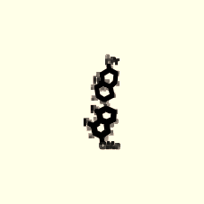 CCCC1CCC2C[C@H](c3ccc4cc(OC)cc(F)c4c3F)CC[C@@H]2C1